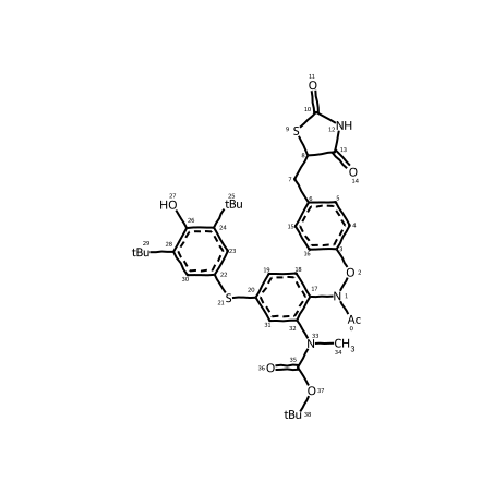 CC(=O)N(Oc1ccc(CC2SC(=O)NC2=O)cc1)c1ccc(Sc2cc(C(C)(C)C)c(O)c(C(C)(C)C)c2)cc1N(C)C(=O)OC(C)(C)C